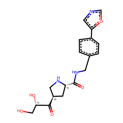 O=C(NCc1ccc(-c2cnco2)cc1)[C@@H]1C[C@@H](C(=O)[C@@H](O)CO)CN1